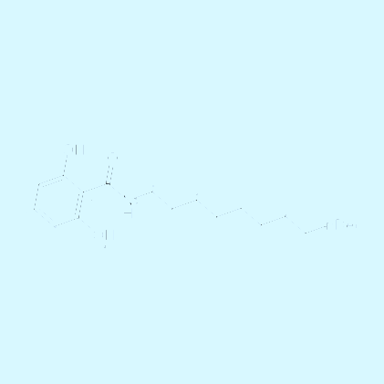 CCCCCCCCCCCCCCCCCCNC(=O)c1c(O)cccc1O